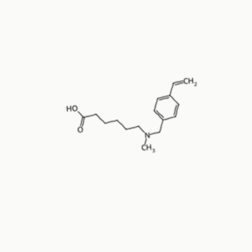 C=Cc1ccc(CN(C)CCCCCC(=O)O)cc1